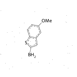 Bc1cc2cc(OC)ccc2s1